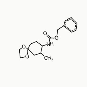 CC1CC2(CCC1NC(=O)OCc1ccccc1)OCCO2